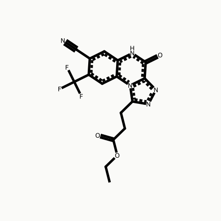 CCOC(=O)CCc1nnc2c(=O)[nH]c3cc(C#N)c(C(F)(F)F)cc3n12